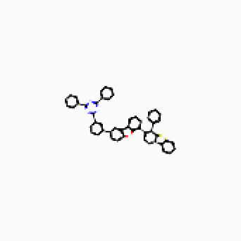 c1ccc(-c2nc(-c3ccccc3)nc(-c3cccc(-c4ccc5oc6c(-c7ccc8c(sc9ccccc98)c7-c7ccccc7)cccc6c5c4)c3)n2)cc1